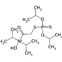 CC(C)OP(=S)(OC(C)C)SCC(=O)[N+](O)(C(C)C)C(C)C